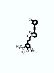 COc1cc(/C=C/C(=O)N2CCC=C(C#Cc3cccc(Cl)c3)C2=O)cc(OC)c1OC